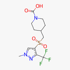 Cn1cc(S(=O)(=O)CC2CCN(C(=O)O)CC2)c(C(F)(F)F)n1